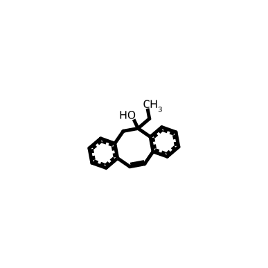 CCC1(O)Cc2ccccc2C=Cc2ccccc21